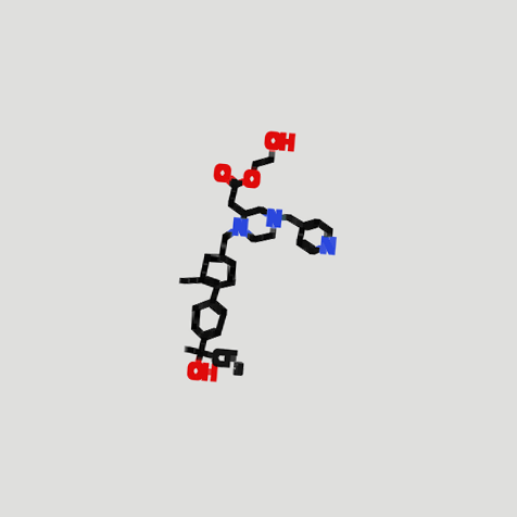 Cc1cc(CN2CCN(Cc3ccncc3)CC2CC(=O)OCCO)ccc1-c1ccc(C(C)(O)C(F)(F)F)cc1